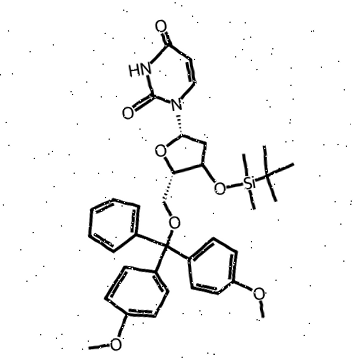 COc1ccc(C(OC[C@@H]2O[C@H](n3ccc(=O)[nH]c3=O)CC2O[Si](C)(C)C(C)(C)C)(c2ccccc2)c2ccc(OC)cc2)cc1